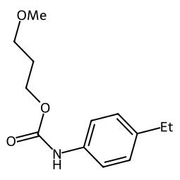 CCc1ccc(NC(=O)OCCCOC)cc1